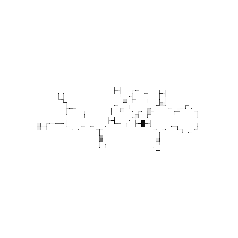 CC(C)N1CC(C(=O)N2C[C@H]3CC[C@]4(NC(=O)c5ccccc5N4)[C@H]3C2)CC1=O